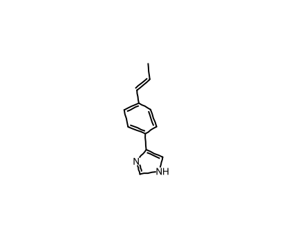 C/C=C/c1ccc(-c2c[nH]cn2)cc1